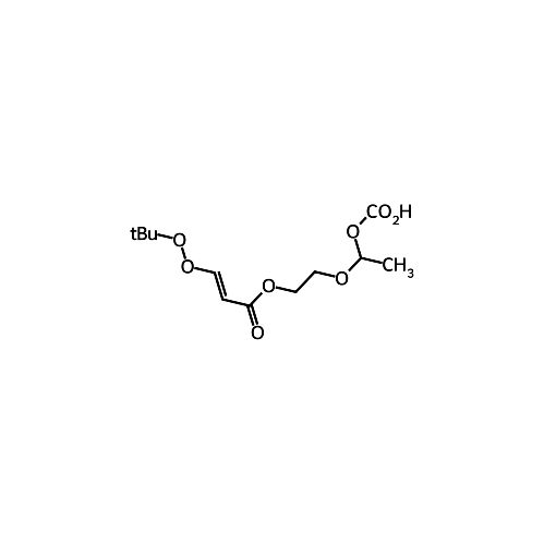 CC(OCCOC(=O)C=COOC(C)(C)C)OC(=O)O